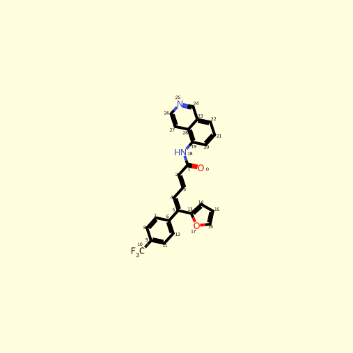 O=C(C=CC=C(c1ccc(C(F)(F)F)cc1)c1ccco1)Nc1cccc2cnccc12